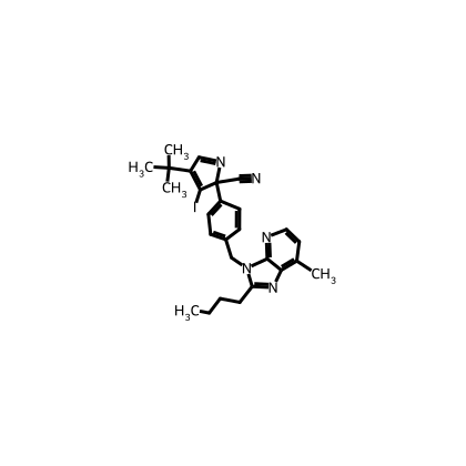 CCCCc1nc2c(C)ccnc2n1Cc1ccc(C2(C#N)N=CC(C(C)(C)C)=C2I)cc1